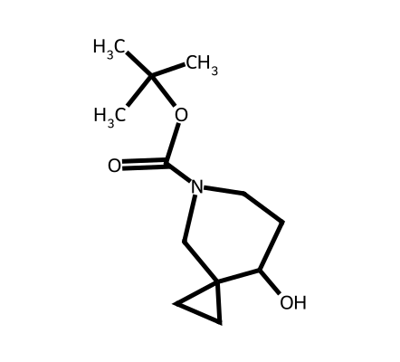 CC(C)(C)OC(=O)N1CCC(O)C2(CC2)C1